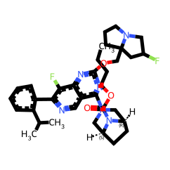 CCCCOC(=O)N1[C@@H]2CC[C@H]1CN(c1nc(OCC34CCCN3CC(F)C4)nc3c(F)c(-c4ccccc4C(C)C)ncc13)C2